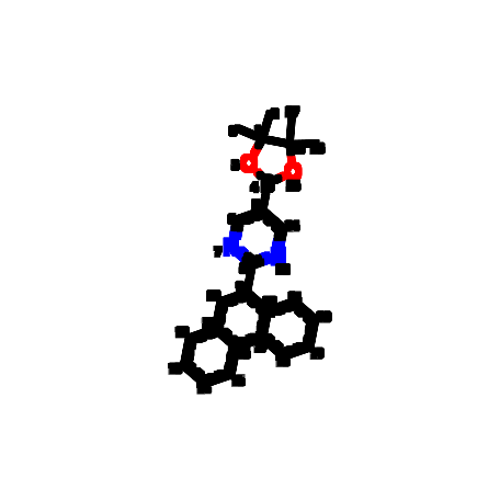 CC1(C)OB(c2cnc(-c3cc4ccccc4c4ccccc34)nc2)OC1(C)C